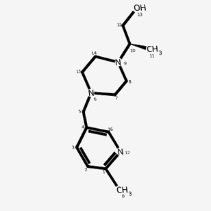 Cc1ccc(CN2CCN([C@H](C)CO)CC2)cn1